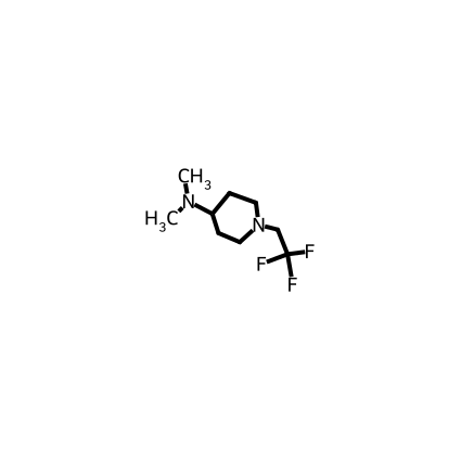 CN(C)C1CCN(CC(F)(F)F)CC1